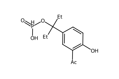 CCC(CC)(O[PH](=O)O)c1ccc(O)c(C(C)=O)c1